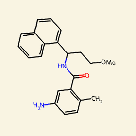 COCCC(NC(=O)c1cc(N)ccc1C)c1cccc2ccccc12